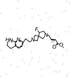 COC(=O)/C=C/CN1CC(F)C2(C1)CN(CCc1ccc3c(n1)NCCC3)C2